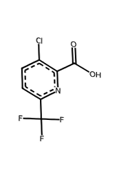 O=C(O)c1nc(C(F)(F)F)ccc1Cl